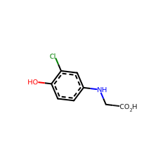 O=C(O)CNc1ccc(O)c(Cl)c1